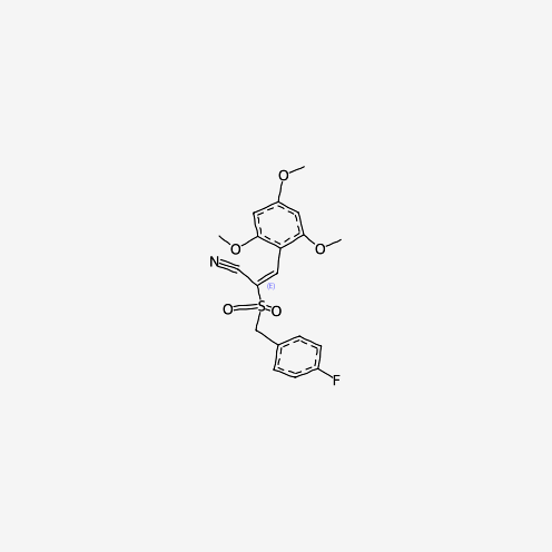 COc1cc(OC)c(/C=C(\C#N)S(=O)(=O)Cc2ccc(F)cc2)c(OC)c1